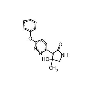 CC1(O)CNC(=O)N1c1ccc(Oc2ccccc2)nn1